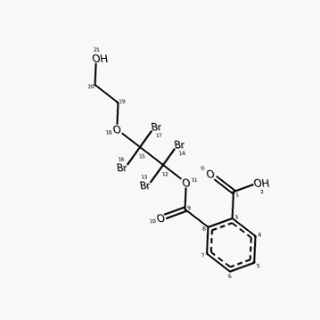 O=C(O)c1ccccc1C(=O)OC(Br)(Br)C(Br)(Br)OCCO